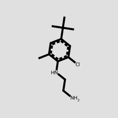 Cc1cc(C(C)(C)C)cc(Cl)c1NCCN